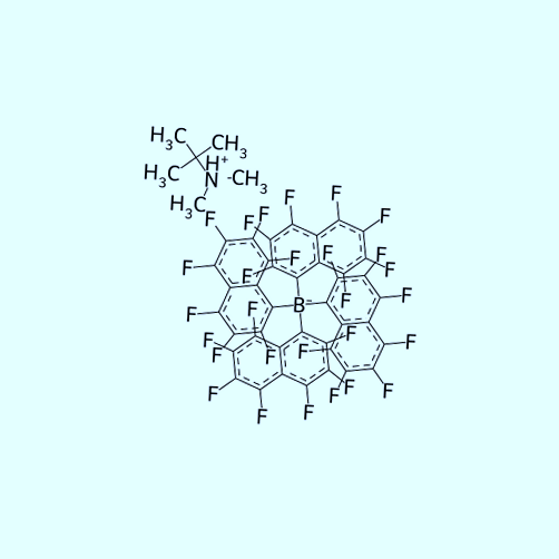 C[NH+](C)C(C)(C)C.Fc1c(F)c(F)c2c([B-](c3c(F)c(F)c(F)c4c(F)c(F)c(F)c(F)c34)(c3c(F)c(F)c(F)c4c(F)c(F)c(F)c(F)c34)c3c(F)c(F)c(F)c4c(F)c(F)c(F)c(F)c34)c(F)c(F)c(F)c2c1F